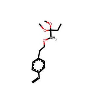 C=Cc1ccc(CCO[SiH2]C(CC)(OC)OC)cc1